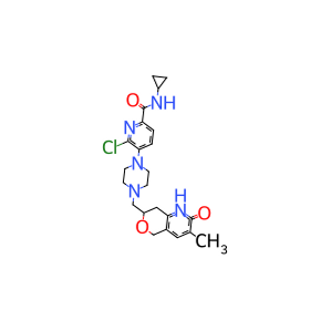 Cc1cc2c([nH]c1=O)CC(CN1CCN(c3ccc(C(=O)NC4CC4)nc3Cl)CC1)OC2